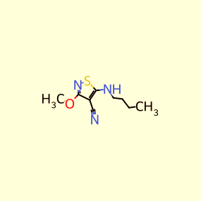 CCCCNc1snc(OC)c1C#N